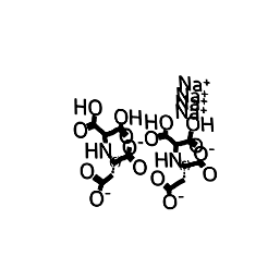 O=C([O-])C[C@H](NC(C(=O)O)C(=O)O)C(=O)[O-].O=C([O-])C[C@H](NC(C(=O)O)C(=O)O)C(=O)[O-].[Na+].[Na+].[Na+].[Na+]